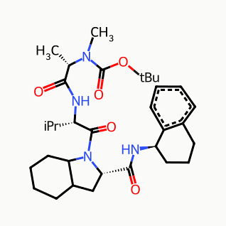 CC(C)[C@H](NC(=O)[C@H](C)N(C)C(=O)OC(C)(C)C)C(=O)N1C2CCCCC2C[C@H]1C(=O)N[C@@H]1CCCc2ccccc21